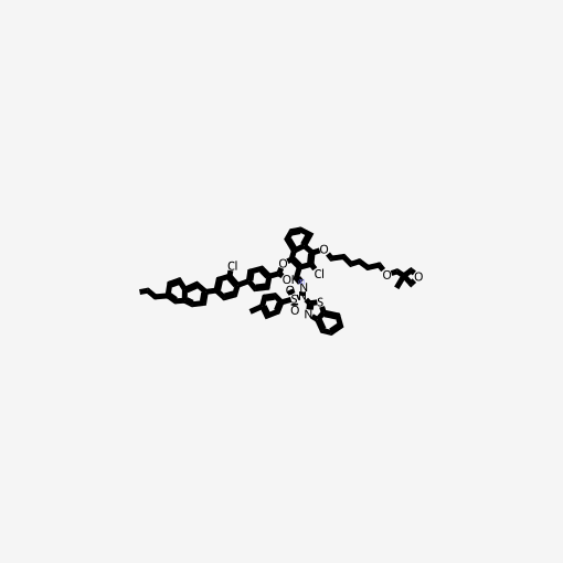 CCCc1ccc2cc(-c3ccc(-c4ccc(C(O)Oc5c(/C=N/N(c6nc7ccccc7s6)S(=O)(=O)c6ccc(C)cc6)c(Cl)c(OCCCCCCOCC6(C)COC6)c6ccccc56)cc4)c(Cl)c3)ccc2c1